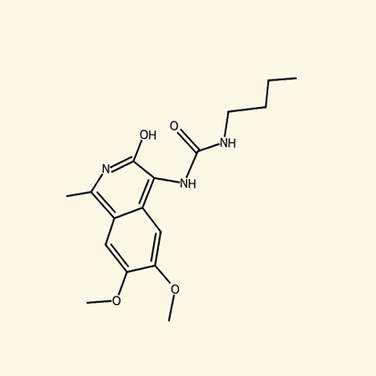 CCCCNC(=O)Nc1c(O)nc(C)c2cc(OC)c(OC)cc12